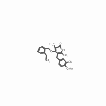 COc1ccc(Cc2c(C)[nH]c(=O)c(C)c2OCc2ccccc2CN)cc1C#N